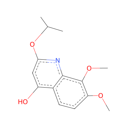 COc1ccc2c(O)cc(OC(C)C)nc2c1OC